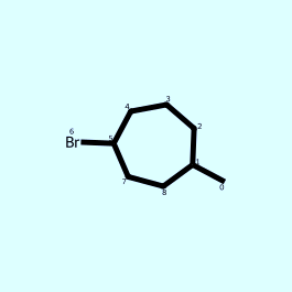 CC1CCCC(Br)CC1